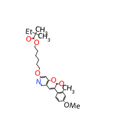 CCC(C)(C)C(=O)OCCCCCCOc1cc2oc(=O)c(-c3ccc(OC)cc3C)cc2cn1